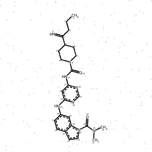 CCCC(=N)C1CCN(C(=O)Nc2cc(Nc3ccc4ccn(C(=O)N(C)C)c4c3)ncn2)CC1